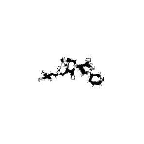 C#CCN(C(=O)C(C[S+]([O-])CCC(F)(F)F)=NOC)c1cn(-c2cccnc2)nc1Cl